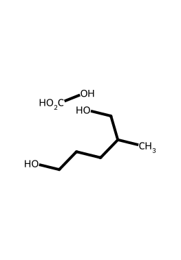 CC(CO)CCCO.O=C(O)O